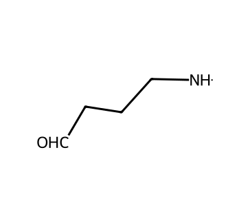 [NH]CCCC=O